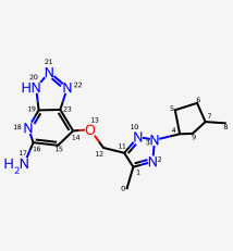 Cc1nn(C2CCC(C)C2)nc1COc1cc(N)nc2[nH]nnc12